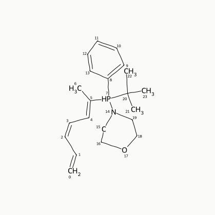 C=C/C=C\C=C(/C)[PH](c1ccccc1)(N1CCOCC1)C(C)(C)C